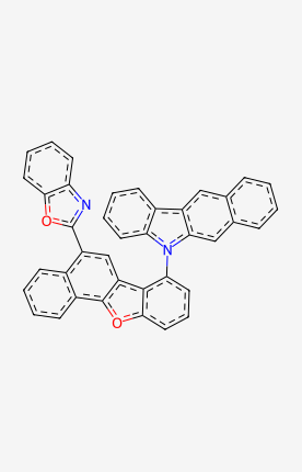 c1ccc2cc3c(cc2c1)c1ccccc1n3-c1cccc2oc3c4ccccc4c(-c4nc5ccccc5o4)cc3c12